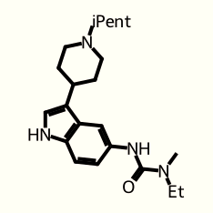 CCCC(C)N1CCC(c2c[nH]c3ccc(NC(=O)N(C)CC)cc23)CC1